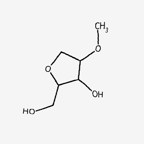 COC1COC(CO)C1O